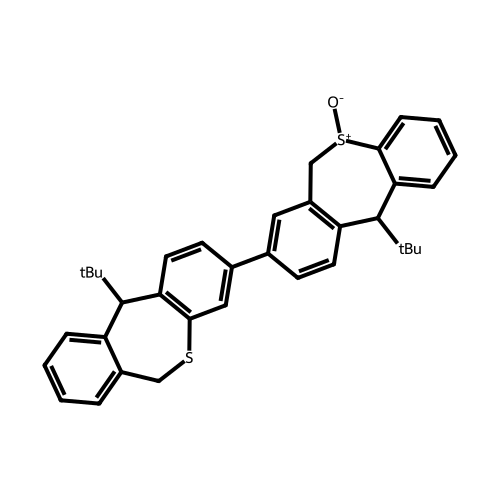 CC(C)(C)C1c2ccccc2CSc2cc(-c3ccc4c(c3)C[S+]([O-])c3ccccc3C4C(C)(C)C)ccc21